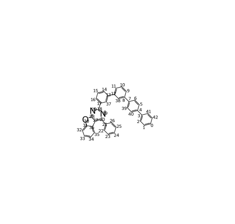 c1ccc(-c2ccc(-c3cccc(-c4cccc(-c5nc(-c6ccccc6)c6c(n5)oc5ccccc56)c4)c3)cc2)cc1